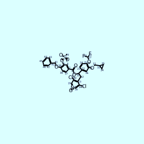 CS(=O)(=O)Oc1cc(C(=O)OC(Cc2c(Cl)c[n+]([O-])cc2Cl)c2ccc(OC(F)F)c(OCC3CC3)c2)ccc1OCc1ccccc1